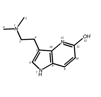 CN(C)CCc1c[nH]c2ccc(O)nc12